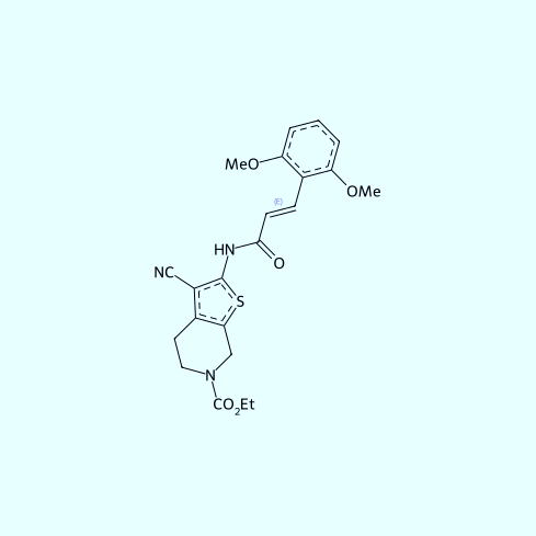 CCOC(=O)N1CCc2c(sc(NC(=O)/C=C/c3c(OC)cccc3OC)c2C#N)C1